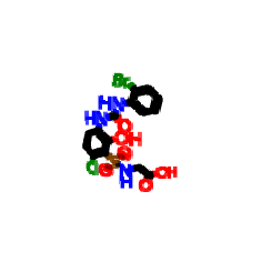 O=C(O)CNS(=O)(=O)c1c(Cl)ccc(NC(=O)Nc2ccccc2Br)c1O